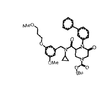 COCCCOc1cc(CN(C(=O)C2CN(C(=O)OC(C)(C)C)CC(=O)N2c2cccc(-c3ccccc3)c2)C2CC2)cc(OC)c1